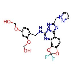 OCOc1ccc(CNc2nc3c4c(ccc3c3nc(Cn5cccn5)nn23)OC(F)(F)O4)c(OCO)c1